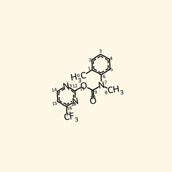 Cc1ccccc1N(C)C(=O)Oc1nccc(C(F)(F)F)n1